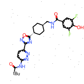 CC(C)(C)C(=O)Nc1ccc(-c2noc([C@H]3CC[C@H](CNC(=O)c4cc(F)c(O)c(F)c4)CC3)n2)nn1